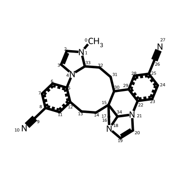 CN1C=CN2c3ccc(C#N)cc3CCC34CCN5C=CN(c6ccc(C#N)cc6C3CCC12)C54